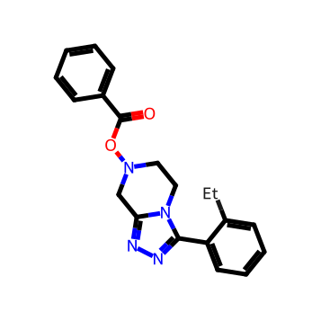 CCc1ccccc1-c1nnc2n1CCN(OC(=O)c1ccccc1)C2